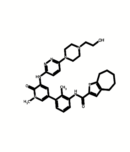 Cc1c(NC(=O)c2cc3c(s2)CCCCC3)cccc1-c1cc(Nc2ccc(N3CCN(CCO)CC3)nn2)c(=O)n(C)c1